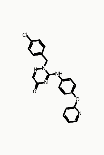 O=c1cnn(Cc2ccc(Cl)cc2)c(Nc2ccc(Oc3ccccn3)cc2)n1